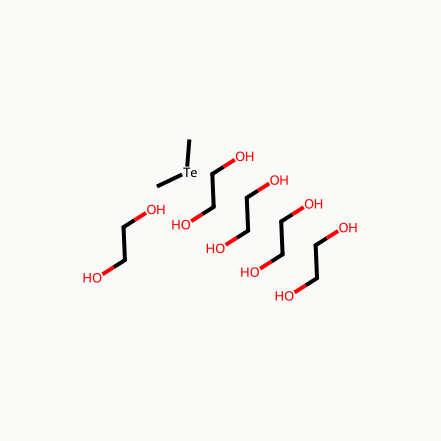 C[Te]C.OCCO.OCCO.OCCO.OCCO.OCCO